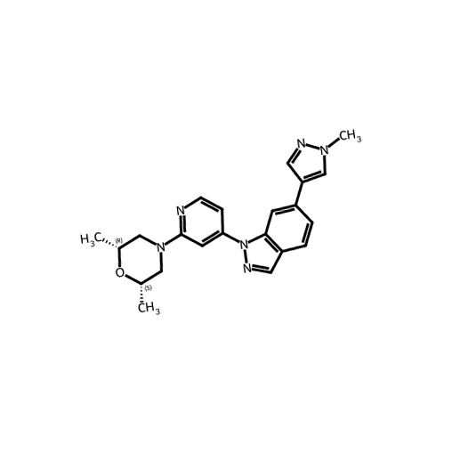 C[C@@H]1CN(c2cc(-n3ncc4ccc(-c5cnn(C)c5)cc43)ccn2)C[C@H](C)O1